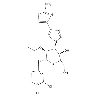 CCO[C@H]1C(n2cc(-c3csc(N)n3)nn2)[C@@H](O)C(CO)O[C@@H]1Sc1ccc(Cl)c(Cl)c1